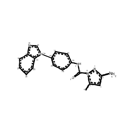 Cc1cc(N)nn1C(=O)Nc1ccc(-n2cnc3ccccc32)cc1